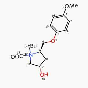 COc1ccc(OC[C@H]2C[C@H](O)C[N+]2(C(=O)[O-])C(C)(C)C)cc1